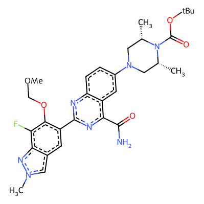 COCOc1c(-c2nc(C(N)=O)c3cc(N4C[C@@H](C)N(C(=O)OC(C)(C)C)[C@@H](C)C4)ccc3n2)cc2cn(C)nc2c1F